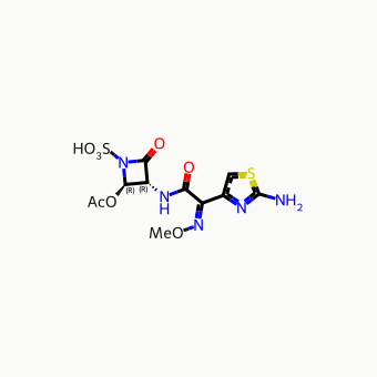 CON=C(C(=O)N[C@H]1C(=O)N(S(=O)(=O)O)[C@@H]1OC(C)=O)c1csc(N)n1